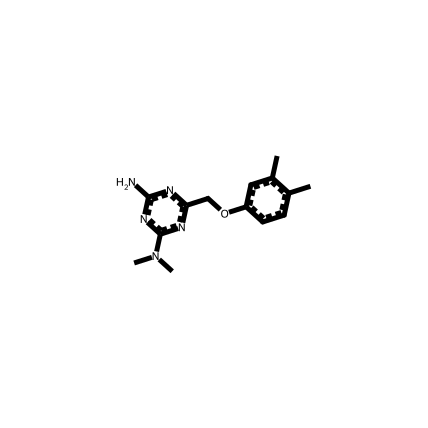 Cc1ccc(OCc2nc(N)nc(N(C)C)n2)cc1C